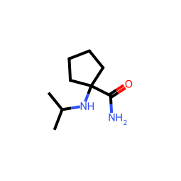 CC(C)NC1(C(N)=O)CCCC1